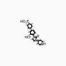 Cl.O=C1N(c2ccc([C@H]3CC[C@H](C(=O)O)CC3)cc2)CCN1C1CCNCC1